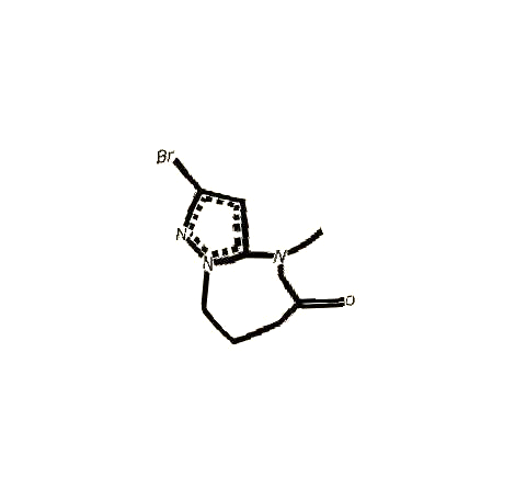 CN1C(=O)CCCn2nc(Br)cc21